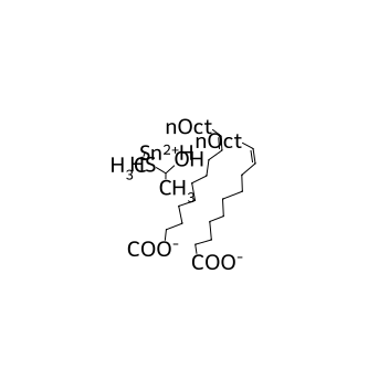 CC(O)S.CCCCCCCC/C=C\CCCCCCCC(=O)[O-].CCCCCCCC/C=C\CCCCCCCC(=O)[O-].[CH3][SnH+2]